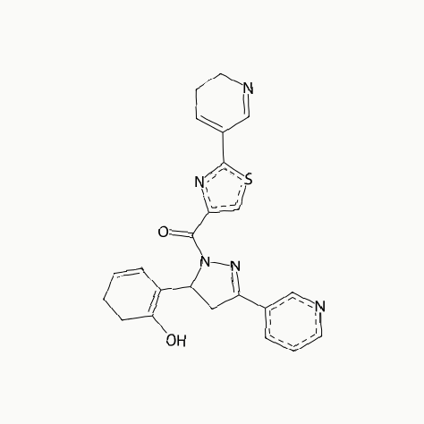 O=C(c1csc(C2=CCCN=C2)n1)N1N=C(c2cccnc2)CC1C1=C(O)CCC=C1